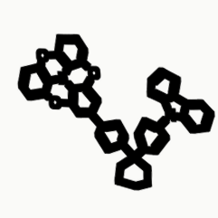 c1cc2c3c(c1)Oc1cc(-c4ccc(C5(c6ccc(-n7c8ccccc8c8ccccc87)cc6)CCCCC5)cc4)cc4c1B3c1c(cccc1O4)O2